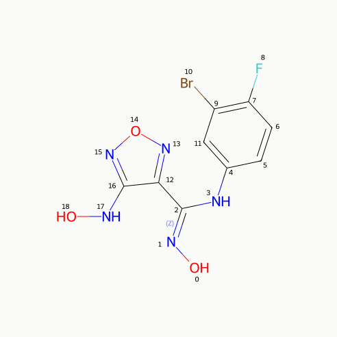 O/N=C(\Nc1ccc(F)c(Br)c1)c1nonc1NO